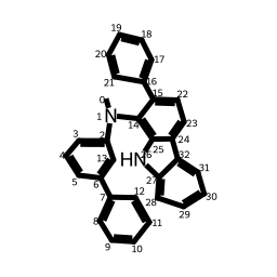 CN(c1cccc(-c2ccccc2)c1)c1c(-c2ccccc2)ccc2c1[nH]c1ccccc12